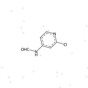 O=CNc1ccnc(Cl)c1